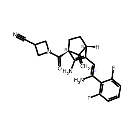 C=C1[C@@H]2CC[C@@]1(C(=O)N1CC(C#N)C1)C(N)=C2/C=C(\N)c1c(F)cccc1F